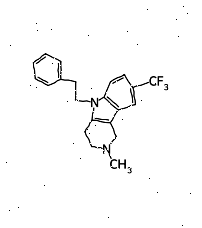 CN1CCc2c(c3cc(C(F)(F)F)ccc3n2CCc2ccccc2)C1